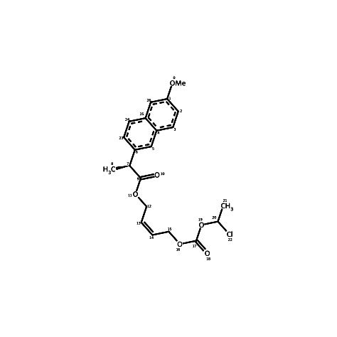 COc1ccc2cc([C@H](C)C(=O)OC/C=C\COC(=O)OC(C)Cl)ccc2c1